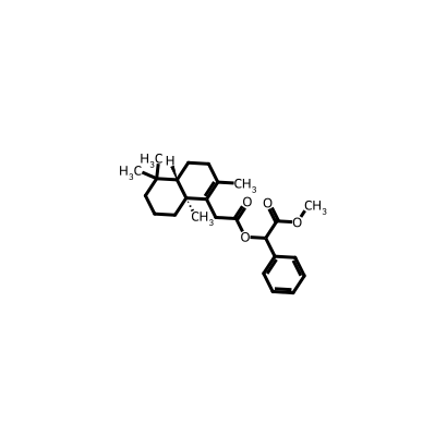 COC(=O)C(OC(=O)CC1=C(C)CC[C@H]2C(C)(C)CCC[C@]12C)c1ccccc1